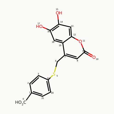 O=C(O)c1ccc(SCc2cc(=O)oc3cc(O)c(O)cc23)cc1